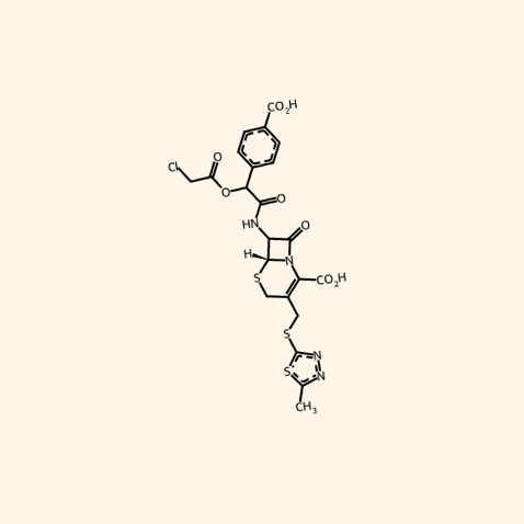 Cc1nnc(SCC2=C(C(=O)O)N3C(=O)C(NC(=O)C(OC(=O)CCl)c4ccc(C(=O)O)cc4)[C@H]3SC2)s1